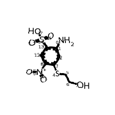 Nc1cc(SCCO)c([N+](=O)[O-])cc1S(=O)(=O)O